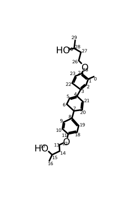 Cc1cc(C2=CCC(c3ccc(OCCC(C)O)cc3)C=C2)ccc1OCCC(C)O